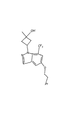 CC(C)CCOc1cc(C(F)(F)F)c2c(cnn2C2CC(C)(O)C2)c1